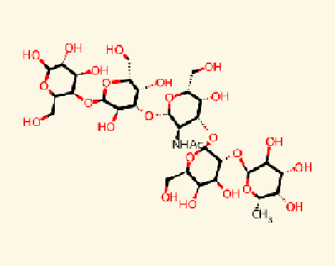 CC(=O)N[C@H]1[C@H](O[C@H]2[C@@H](O)[C@@H](CO)O[C@H](O[C@@H]3[C@H](O)[C@@H](O)C(O)O[C@@H]3CO)[C@@H]2O)O[C@H](CO)[C@H](O)[C@@H]1O[C@@H]1O[C@H](CO)[C@H](O)[C@H](O)[C@H]1O[C@@H]1O[C@@H](C)[C@@H](O)[C@@H](O)[C@@H]1O